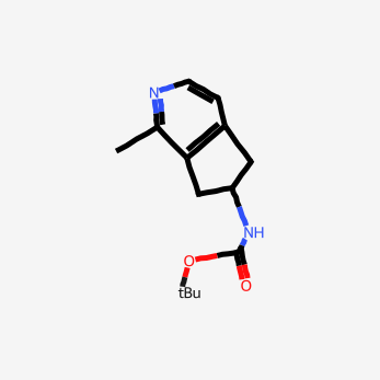 Cc1nccc2c1CC(NC(=O)OC(C)(C)C)C2